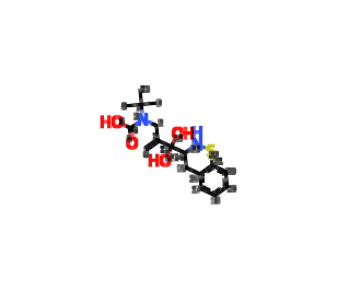 C=C(CN(C(=O)O)C(C)(C)C)C(O)(O)C1Cc2ccccc2SN1